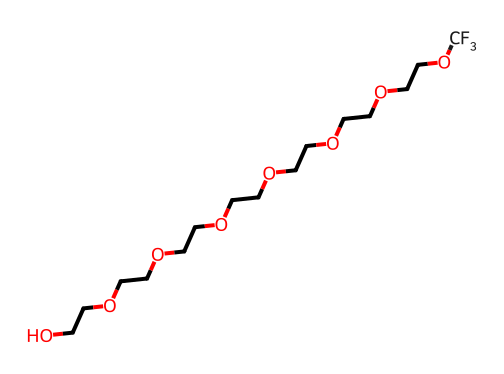 OCCOCCOCCOCCOCCOCCOCCOC(F)(F)F